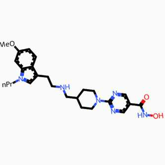 CCCn1cc(CCNCC2CCN(c3ncc(C(=O)NO)cn3)CC2)c2ccc(OC)cc21